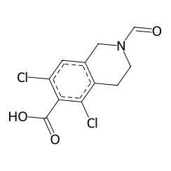 O=CN1CCc2c(cc(Cl)c(C(=O)O)c2Cl)C1